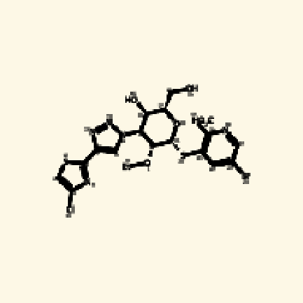 CCO[C@@H]1[C@@H](n2cc(-c3nc(Cl)cs3)nn2)[C@@H](O)[C@@H](CO)O[C@@H]1Sc1cc(Br)cnc1C(=O)O